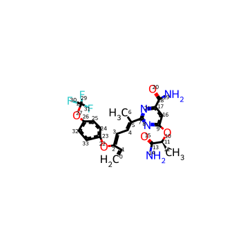 C=C/C(=C\C=C(/C)c1nc(O[C@@H](C)C(N)=O)cc(C(N)=O)n1)Oc1ccc(OC(F)(F)F)cc1